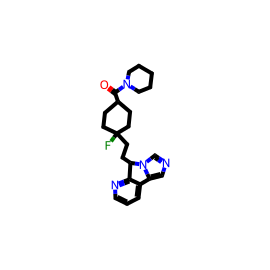 O=C(C1CCC(F)(CCC2c3ncccc3-c3cncn32)CC1)N1CCCCC1